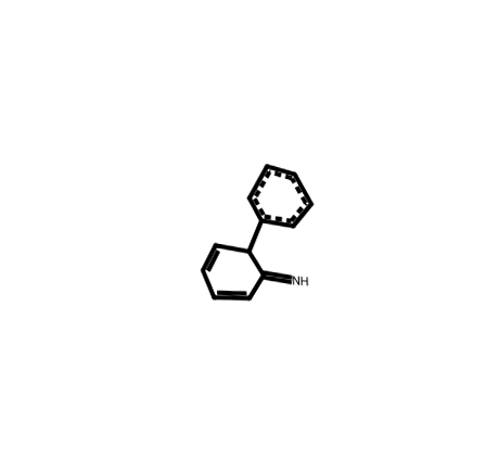 N=C1C=CC=CC1c1ccccc1